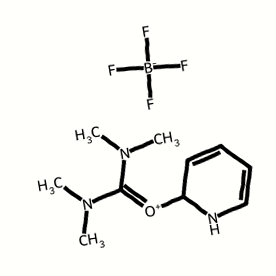 CN(C)C(=[O+]C1C=CC=CN1)N(C)C.F[B-](F)(F)F